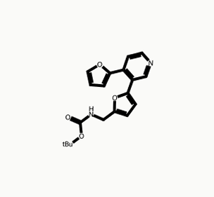 CC(C)(C)OC(=O)NCc1ccc(-c2cnccc2-c2ccco2)o1